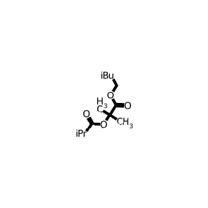 CCC(C)COC(=O)C(C)(C)OC(=O)C(C)C